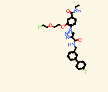 CCNC(=O)c1ccc(-n2cc(C(=O)NCc3cccc(-c4ccc(F)cc4)c3)nn2)c(OCCOCCF)c1